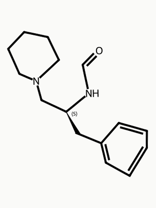 O=CN[C@@H](Cc1ccccc1)CN1CCCCC1